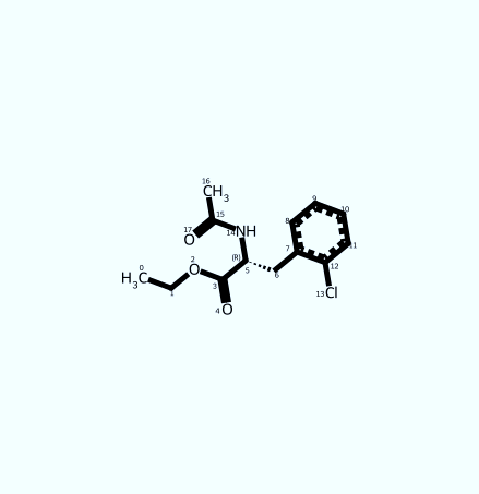 CCOC(=O)[C@@H](Cc1ccccc1Cl)NC(C)=O